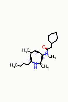 C=C1/C=C(N(C)C(=O)CC2CCCCCC2)\C=C/C(C)/C=C(/CCCC)N1